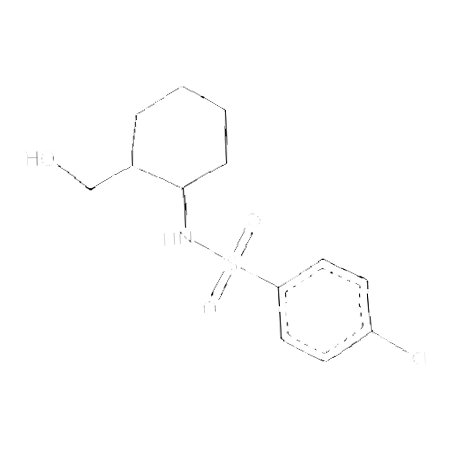 O=S(=O)(NC1CCCCC1CO)c1ccc(Cl)cc1